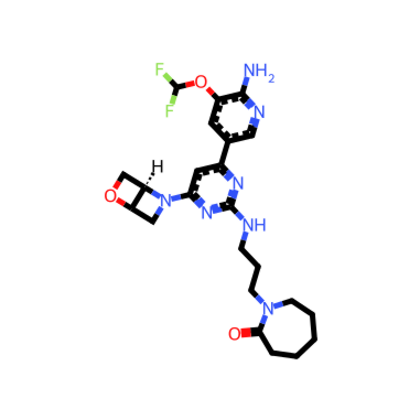 Nc1ncc(-c2cc(N3CC4OC[C@H]43)nc(NCCCN3CCCCCC3=O)n2)cc1OC(F)F